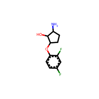 NC1CCC(Oc2ccc(F)cc2F)C1O